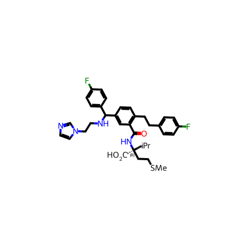 CSCC[C@](NC(=O)c1cc(C(NCCn2ccnc2)c2ccc(F)cc2)ccc1CCc1ccc(F)cc1)(C(=O)O)C(C)C